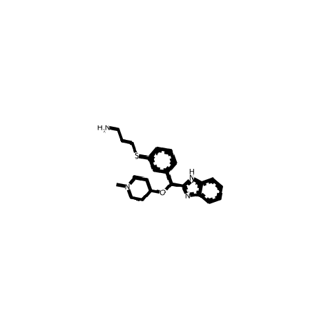 CN1CCC(OC(c2cccc(SCCCN)c2)c2nc3ccccc3[nH]2)CC1